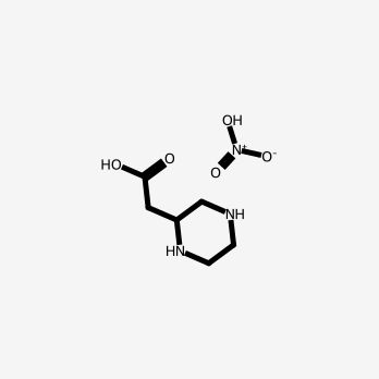 O=C(O)CC1CNCCN1.O=[N+]([O-])O